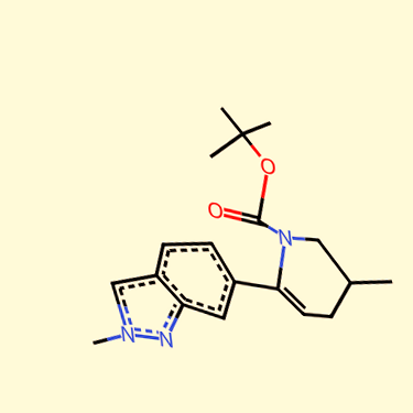 CC1CC=C(c2ccc3cn(C)nc3c2)N(C(=O)OC(C)(C)C)C1